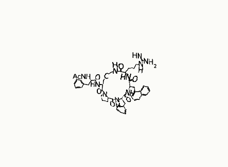 CC(=O)N[C@@H](Cc1ccccc1)C(=O)N[C@H]1CCCNC(=O)C(CCCNC(=N)N)NC(=O)C(Cc2cccc3ccccc23)NC(=O)[C@@H](Cc2ccccc2)NC(=O)C2CCCN2C1=O